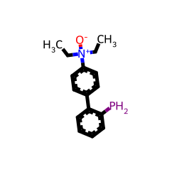 CC[N+]([O-])(CC)c1ccc(-c2ccccc2P)cc1